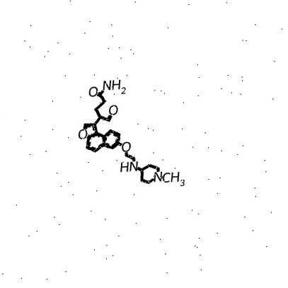 CN1CCC(NCCOc2ccc3c(ccc4occ(C(C=O)CCC(N)=O)c43)c2)CC1